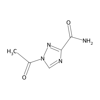 CC(=O)n1cnc(C(N)=O)n1